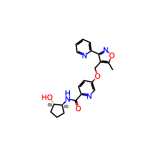 Cc1onc(-c2ccccn2)c1COc1ccc(C(=O)N[C@H]2CCC[C@@H]2O)nc1